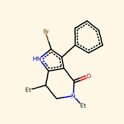 CCC1CN(CC)C(=O)c2c1[nH]c(Br)c2-c1ccccc1